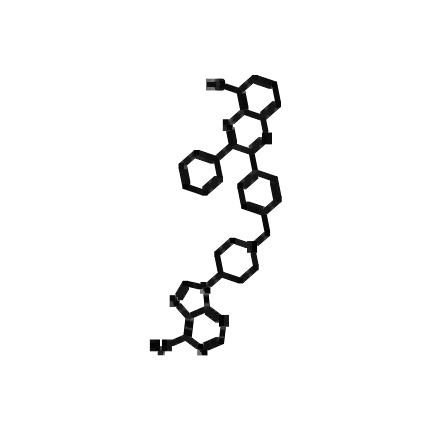 Nc1ncnc2c1ncn2C1CCN(Cc2ccc(-c3nc4cccc(O)c4nc3-c3ccccc3)cc2)CC1